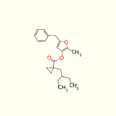 CCC(CC)CC1(C(=O)Oc2cc(Cc3ccccc3)oc2C)CC1